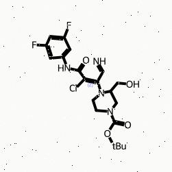 CC(C)(C)OC(=O)N1CCN(/C(C=N)=C(\Cl)C(=O)Nc2cc(F)cc(F)c2)C(CO)C1